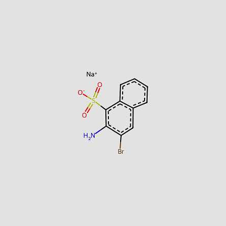 Nc1c(Br)cc2ccccc2c1S(=O)(=O)[O-].[Na+]